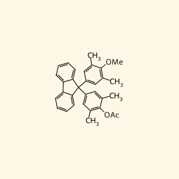 COc1c(C)cc(C2(c3cc(C)c(OC(C)=O)c(C)c3)c3ccccc3-c3ccccc32)cc1C